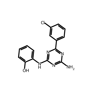 Nc1nc(Nc2ccccc2O)nc(-c2cccc(Cl)c2)n1